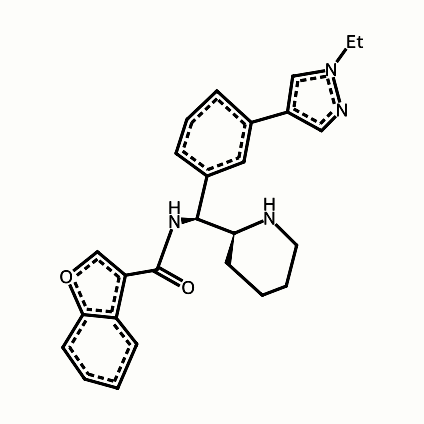 CCn1cc(-c2cccc([C@H](NC(=O)c3coc4ccccc34)[C@@H]3CCCCN3)c2)cn1